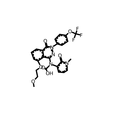 COCCOc1cccc2c(=O)n(-c3ccc(OC(F)(F)F)cc3)nc(N(C(=O)O)c3cccn(C)c3=O)c12